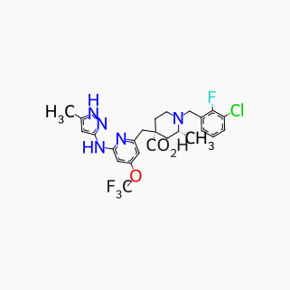 Cc1cc(Nc2cc(OC(F)(F)F)cc(C[C@@]3(C(=O)O)CCN(Cc4cccc(Cl)c4F)[C@H](C)C3)n2)n[nH]1